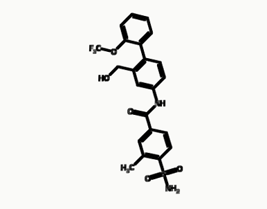 Cc1cc(C(=O)Nc2ccc(-c3ccccc3OC(F)(F)F)c(CO)c2)ccc1S(N)(=O)=O